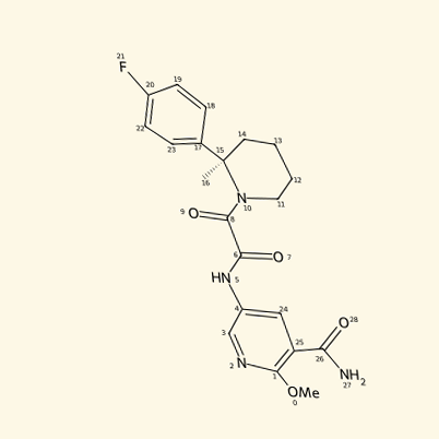 COc1ncc(NC(=O)C(=O)N2CCCC[C@]2(C)c2ccc(F)cc2)cc1C(N)=O